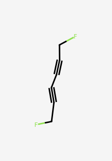 FCC#CC#CCF